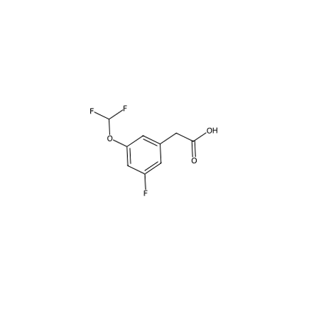 O=C(O)Cc1cc(F)cc(OC(F)F)c1